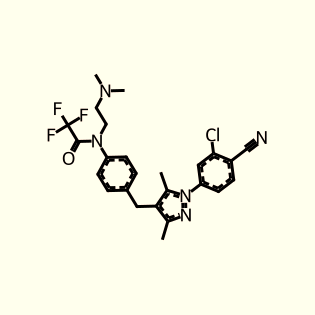 Cc1nn(-c2ccc(C#N)c(Cl)c2)c(C)c1Cc1ccc(N(CCN(C)C)C(=O)C(F)(F)F)cc1